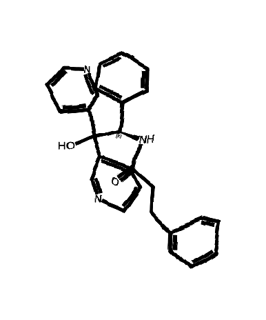 O=C(CCc1ccccc1)N[C@H](c1ccccc1)C(O)(c1cccnc1)c1cccnc1